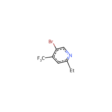 CCc1cc(C(F)(F)F)c(Br)cn1